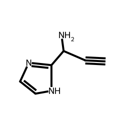 C#CC(N)c1ncc[nH]1